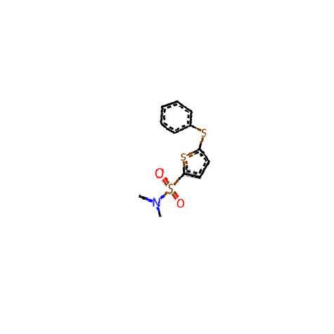 CN(C)S(=O)(=O)c1ccc(Sc2ccccc2)s1